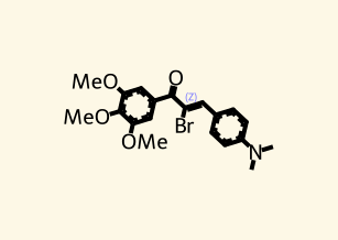 COc1cc(C(=O)/C(Br)=C/c2ccc(N(C)C)cc2)cc(OC)c1OC